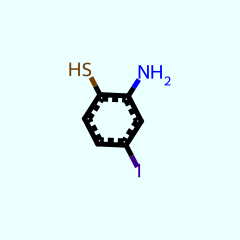 Nc1cc(I)ccc1S